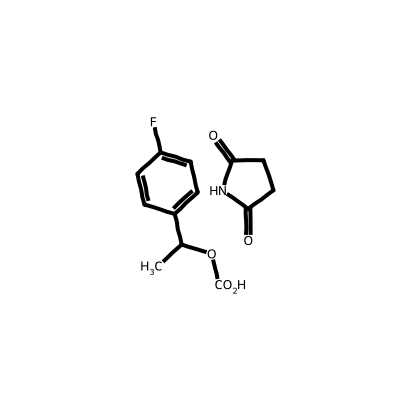 CC(OC(=O)O)c1ccc(F)cc1.O=C1CCC(=O)N1